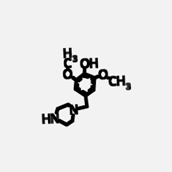 COc1cc(CN2CCNCC2)cc(OC)c1O